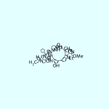 C=CC(=O)N1CCC(O)(C(=O)N(C)[C@H](C(=O)N[C@H]2Cc3cc(O)cc(c3)-c3ccc4c(c3)c(c(-c3cccnc3COC)n4CC)CC(C)(C)COC(=O)[C@@]3(O)CCCN(N3)C2=O)C2CCCC2)C1